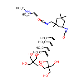 C=CC(=O)O.C=CC(=O)O.C=CC(=O)O.C=CC(=O)O.C=CC(=O)O.CC1(C)CC(N=C=O)CC(C)(CN=C=O)C1.NC(=O)O.OCC(CO)(CO)COCC(CO)(CO)CO